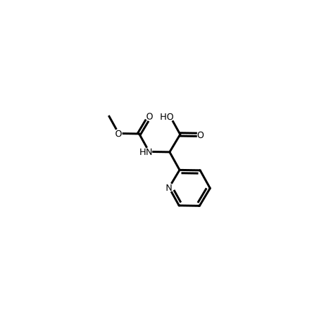 COC(=O)NC(C(=O)O)c1ccccn1